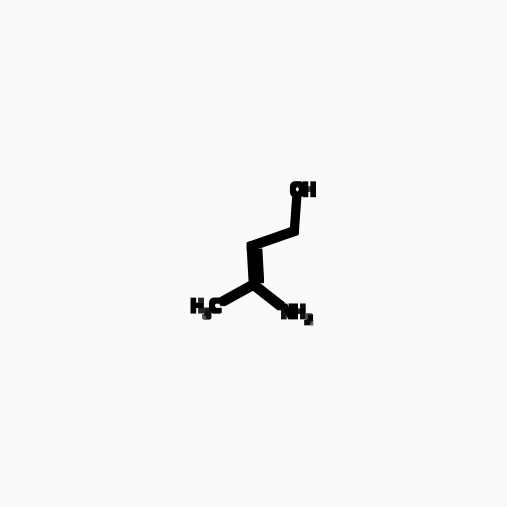 C/C(N)=C/CO